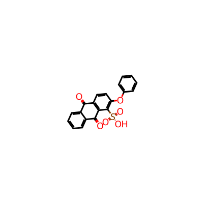 O=C1c2ccccc2C(=O)c2c1ccc(Oc1ccccc1)c2S(=O)(=O)O